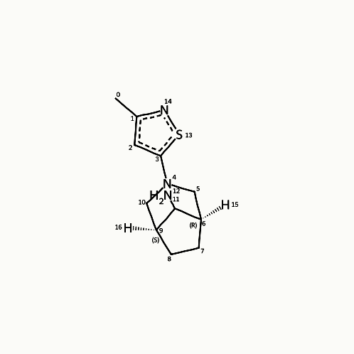 Cc1cc(N2C[C@H]3CC[C@@H](C2)C3N)sn1